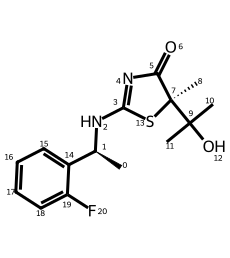 C[C@H](NC1=NC(=O)[C@@](C)(C(C)(C)O)S1)c1ccccc1F